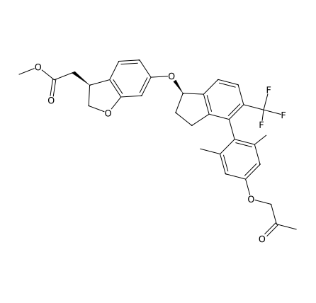 COC(=O)C[C@@H]1COc2cc(O[C@@H]3CCc4c3ccc(C(F)(F)F)c4-c3c(C)cc(OCC(C)=O)cc3C)ccc21